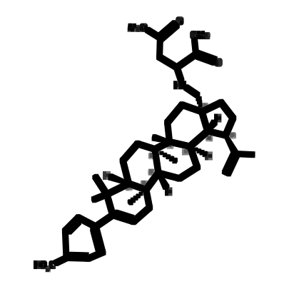 C=C(C)[C@@H]1CC[C@]2(CNC(CC(=O)OC)C(=O)OC)CC[C@]3(C)[C@H](CC[C@@H]4[C@@]5(C)CC=C(c6ccc(C(=O)O)cc6)C(C)(C)[C@@H]5CC[C@]43C)[C@@H]12